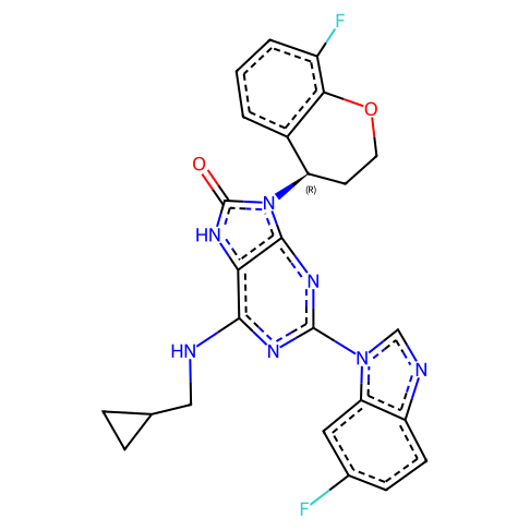 O=c1[nH]c2c(NCC3CC3)nc(-n3cnc4ccc(F)cc43)nc2n1[C@@H]1CCOc2c(F)cccc21